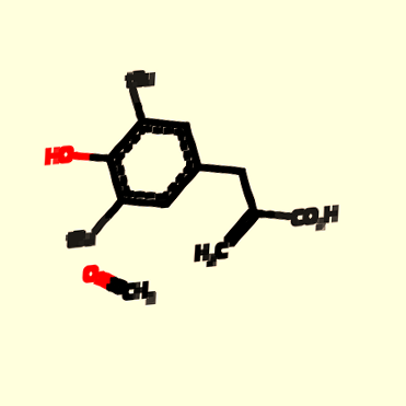 C=C(Cc1cc(C(C)(C)C)c(O)c(C(C)(C)C)c1)C(=O)O.C=O